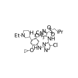 CCN1CCCC(c2cc(OC3CC3)c(Nc3ncc(Cl)c(Nc4cn(C)nc4S(=O)(=O)CC(C)C)n3)cc2C)C1